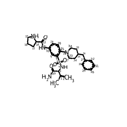 CC(C)C(NS(=O)(=O)c1cc(NC(=O)C2CCCN2)ccc1N1CCC(Cc2ccccc2)CC1)C(N)=O